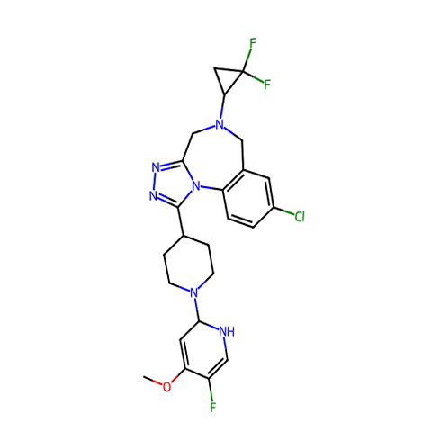 COC1=CC(N2CCC(c3nnc4n3-c3ccc(Cl)cc3CN(C3CC3(F)F)C4)CC2)NC=C1F